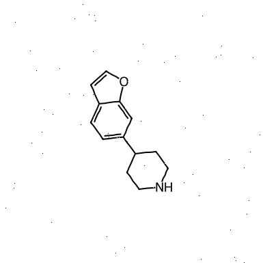 c1cc2ccc(C3CCNCC3)cc2o1